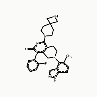 Cc1ccc2[nH]ncc2c1N1CCc2c(N3CCC4(CC3)CNC4)nc(=O)n(-c3ccccc3C(C)C)c2C1